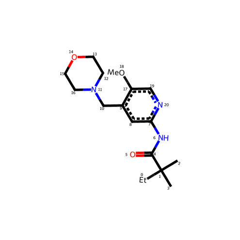 CCC(C)(C)C(=O)Nc1cc(CN2CCOCC2)c(OC)cn1